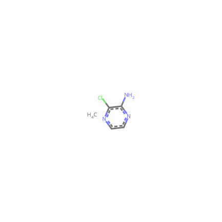 C.Nc1nccnc1Cl